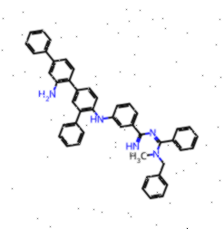 CN(Cc1ccccc1)/C(=N\C(=N)c1cccc(Nc2ccc(-c3ccc(-c4ccccc4)cc3N)cc2-c2ccccc2)c1)c1ccccc1